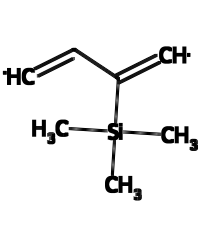 [CH]=CC(=[CH])[Si](C)(C)C